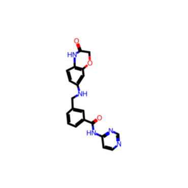 O=C1COc2cc(NCc3cccc(C(=O)Nc4ccncn4)c3)ccc2N1